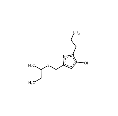 CCCn1nc(CSC(C)CC)cc1O